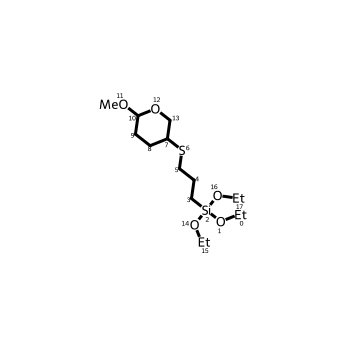 CCO[Si](CCCSC1CCC(OC)OC1)(OCC)OCC